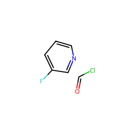 Fc1cccnc1.O=CCl